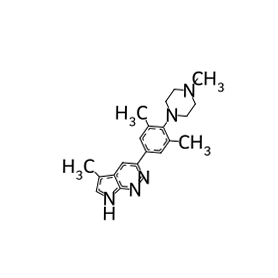 Cc1cc(-c2cc3c(C)c[nH]c3nn2)cc(C)c1N1CCN(C)CC1